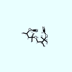 CC(CC(C)(C)OCC(C)C(C)(C)OC#N)OC#N